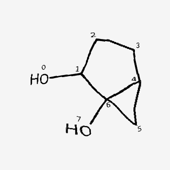 OC1CCC2CC12O